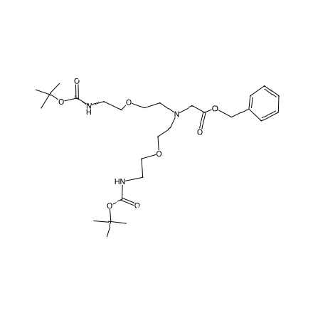 CC(C)(C)OC(=O)NCCOCCN(CCOCCNC(=O)OC(C)(C)C)CC(=O)OCc1ccccc1